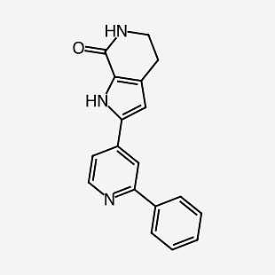 O=C1NCCc2cc(-c3ccnc(-c4ccccc4)c3)[nH]c21